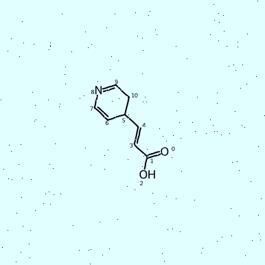 O=C(O)/C=C/C1C=CN=CC1